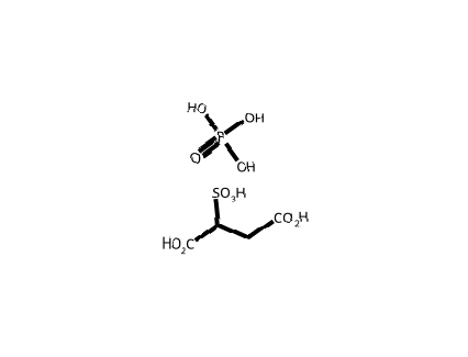 O=C(O)CC(C(=O)O)S(=O)(=O)O.O=P(O)(O)O